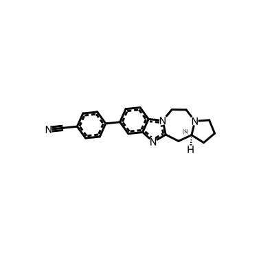 N#Cc1ccc(-c2ccc3c(c2)nc2n3CCN3CCC[C@H]3C2)cc1